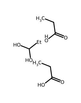 CCC(=O)O.CCC(=O)O.CCC(O)O